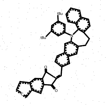 CC(C)(C)c1cc(N2c3cc4ccc(C=C5C(=O)c6cc7ccccc7cc6C5=O)cc4cc3CCc3ccc4ccccc4c32)cc(C(C)(C)C)c1